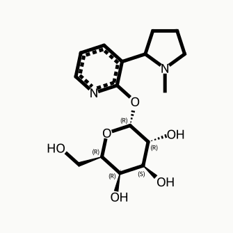 CN1CCCC1c1cccnc1O[C@H]1O[C@H](CO)[C@H](O)[C@H](O)[C@H]1O